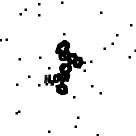 Cn1c(-c2ccccc2)nc2cc(-c3c4ccccc4cc4c3oc3ccccc34)ccc21